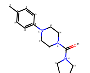 Cc1ccc(N2CCN(C(=O)N3CCCC3)CC2)cc1